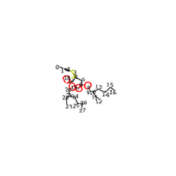 CC#CSC(CC(=O)OCC(CC)CCCC)C(=O)OCC(CC)CCCC